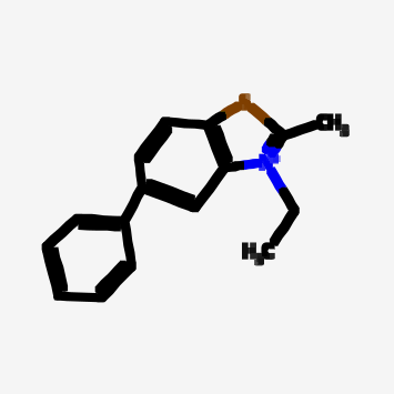 CC[n+]1c(C)sc2ccc(-c3ccccc3)cc21